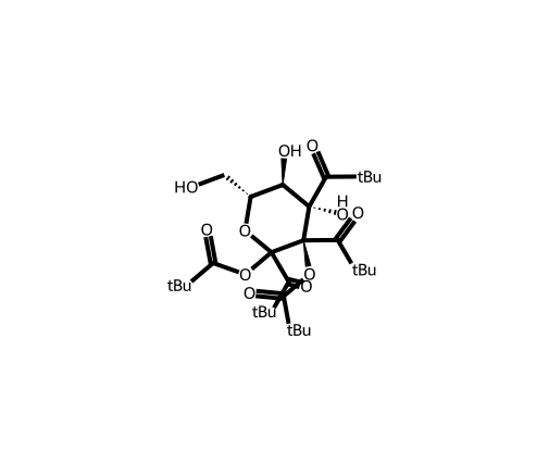 CC(C)(C)C(=O)OC1(C(=O)C(C)(C)C)O[C@H](CO)[C@@H](O)[C@@](O)(C(=O)C(C)(C)C)[C@]1(OC(=O)C(C)(C)C)C(=O)C(C)(C)C